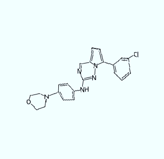 Clc1cccc(-c2ccc3cnc(Nc4ccc(N5CCOCC5)cc4)nn23)c1